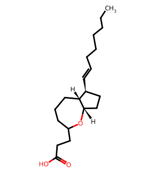 CCCCCCC=C[C@H]1CC[C@@H]2OC(CCC(=O)O)CCC[C@@H]21